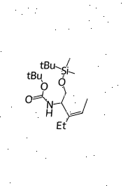 CC=C(CC)C(CO[Si](C)(C)C(C)(C)C)NC(=O)OC(C)(C)C